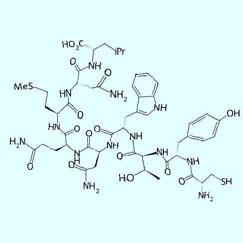 CSCC[C@H](NC(=O)[C@H](CCC(N)=O)NC(=O)[C@H](CC(N)=O)NC(=O)[C@H](Cc1c[nH]c2ccccc12)NC(=O)[C@@H](NC(=O)[C@H](Cc1ccc(O)cc1)NC(=O)[C@@H](N)CS)[C@@H](C)O)C(=O)N[C@@H](CC(N)=O)C(=O)N[C@@H](CC(C)C)C(=O)O